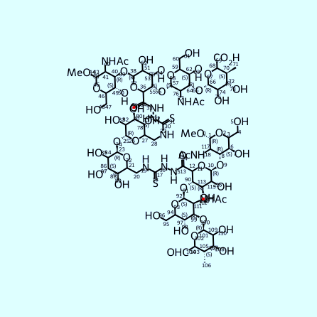 CO[C@@H]1OC(CO)[C@@H](O)[C@H](O[C@@H]2OC(C(=O)NNC(=S)NCC3O[C@H](O[C@H]4OC(CNC(=S)NNC(=O)C5O[C@@H](O[C@@H]6C(NC(C)=O)[C@H](OC)OC(CO)[C@H]6O)C(O)[C@@H](O)[C@@H]5O[C@@H]5OC(CO)[C@@H](O)[C@H](O[C@@H]6OC(C(=O)O)[C@@H](C)[C@H](O)C6O)C5NC(C)=O)[C@@H](O)[C@H](O)C4O)C(O)[C@@H](O)[C@@H]3O)[C@@H](O[C@@H]3OC(CO)[C@@H](O)[C@H](O[C@@H]4OC(C=O)[C@@H](C)[C@H](O)C4O)C3NC(C)=O)[C@H](O)C2O)C1NC(C)=O